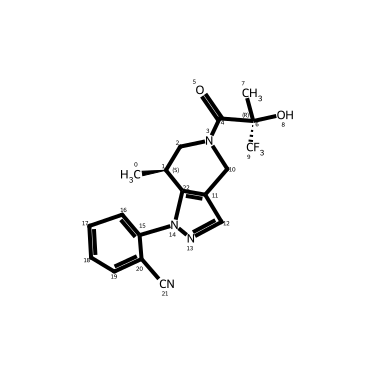 C[C@H]1CN(C(=O)[C@@](C)(O)C(F)(F)F)Cc2cnn(-c3ccccc3C#N)c21